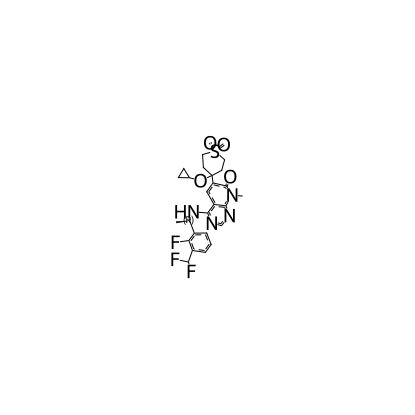 C[C@@H](Nc1ncnc2c1cc(C1(OC3CC3)CCS(=O)(=O)CC1)c(=O)n2C)c1cccc(C(F)F)c1F